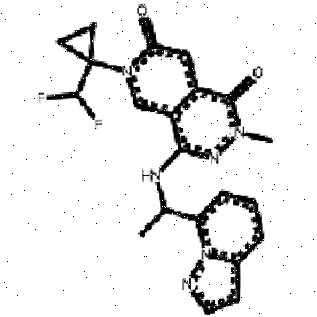 CC(Nc1nn(C)c(=O)c2cc(=O)n(C3(C(F)F)CC3)cc12)c1cccc2ccnn12